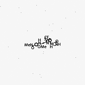 CNC(=O)c1ccc(NCC#Cc2nc3c(N[C@@H]4CCNC(=O)C4)cccn3c2SC(F)(F)F)c(OC)c1